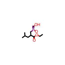 CCOC(=O)C(CC(C)C)C[PH](=O)CO